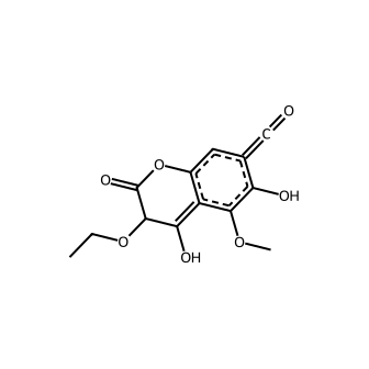 CCOC1C(=O)Oc2cc(=C=O)c(O)c(OC)c2=C1O